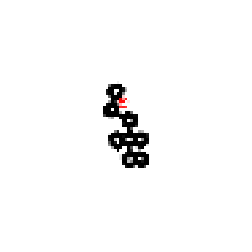 c1cc(-c2c3ccccc3c(-c3cccc4ccccc34)c3ccccc23)cc(-c2cccc3c2oc2ccccc23)c1